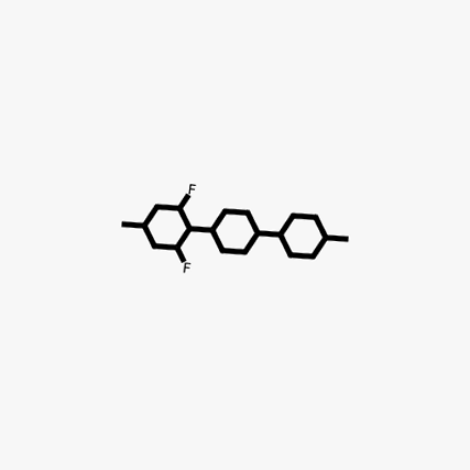 CC1CCC(C2CCC(C3C(F)CC(C)CC3F)CC2)CC1